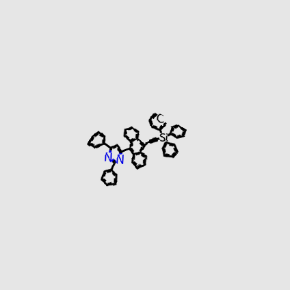 C(#C[Si](c1ccccc1)(c1ccccc1)c1ccccc1)c1c2ccccc2c(-c2cc(-c3ccccc3)nc(-c3ccccc3)n2)c2ccccc12